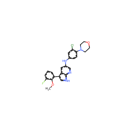 COc1c(F)cccc1-c1c[nH]c2ncc(Nc3ccc(N4CCOCC4)c(Cl)c3)cc12